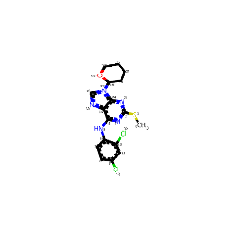 CSc1nc(Nc2ccc(Cl)cc2Cl)c2ncn(C3CCCCO3)c2n1